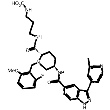 COc1cccc(F)c1CN1C[C@H](NC(=O)c2ccc3[nH]nc(-c4ccnc(C)c4)c3c2)CC[C@H]1C(=O)NCCCNC(=O)O